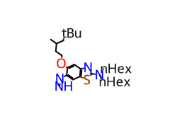 CCCCCCN(CCCCCC)c1nc2cc(OCCC(C)CC(C)(C)C)c(N=N)cc2s1